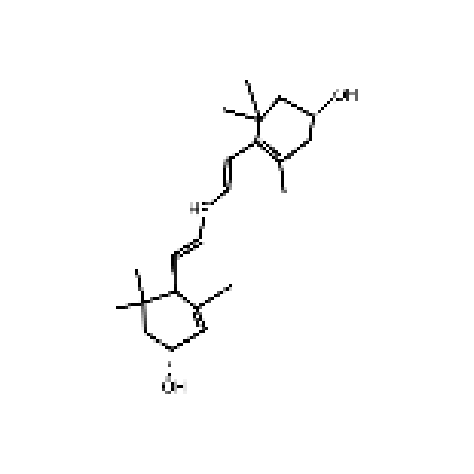 CC1=C[C@H](O)CC(C)(C)[C@H]1/C=C/P/C=C/C1=C(C)C[C@@H](O)CC1(C)C